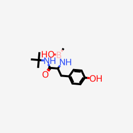 CB(O)NC(Cc1ccc(O)cc1)C(=O)NC(C)(C)C